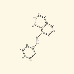 [C](=C\c1cccc2ccccc12)/c1ccccc1